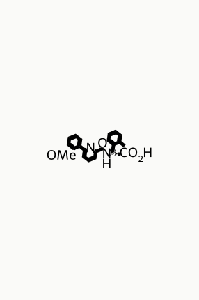 COc1ccccc1-c1cccc(C(=O)N[C@@H](CC(=O)O)c2ccccc2C)n1